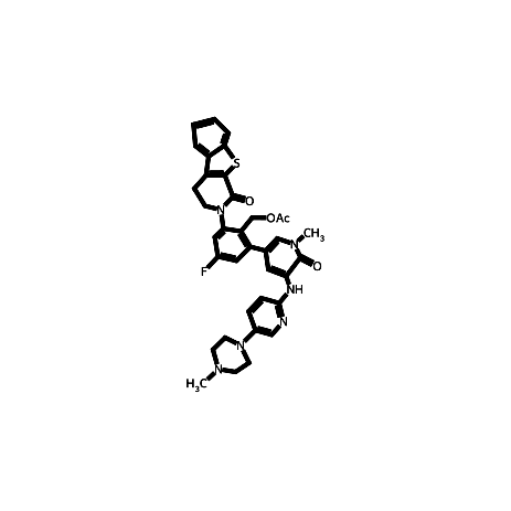 CC(=O)OCc1c(-c2cc(Nc3ccc(N4CCN(C)CC4)cn3)c(=O)n(C)c2)cc(F)cc1N1CCc2c(sc3ccccc23)C1=O